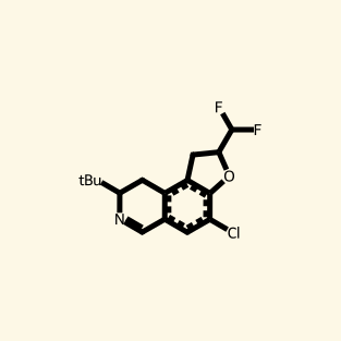 CC(C)(C)C1Cc2c(cc(Cl)c3c2CC(C(F)F)O3)C=N1